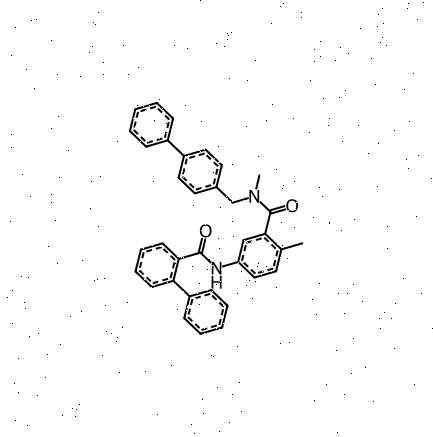 Cc1ccc(NC(=O)c2ccccc2-c2ccccc2)cc1C(=O)N(C)Cc1ccc(-c2ccccc2)cc1